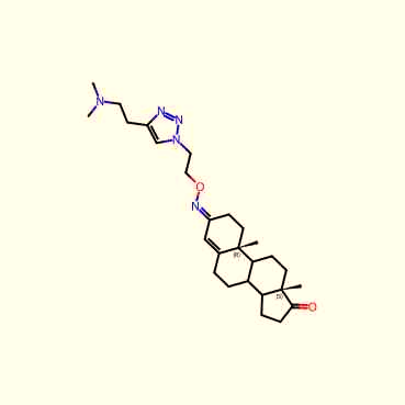 CN(C)CCc1cn(CCON=C2C=C3CCC4C(CC[C@]5(C)C(=O)CCC45)[C@@]3(C)CC2)nn1